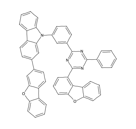 c1ccc(-c2nc(-c3cccc(-n4c5ccccc5c5ccc(-c6ccc7c(c6)oc6ccccc67)cc54)c3)nc(-c3cccc4oc5ccccc5c34)n2)cc1